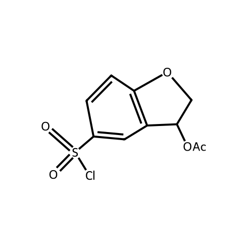 CC(=O)OC1COc2ccc(S(=O)(=O)Cl)cc21